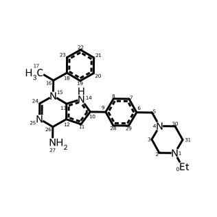 CCN1CCN(Cc2ccc(-c3cc4c([nH]3)N(C(C)c3ccccc3)C=NC4N)cc2)CC1